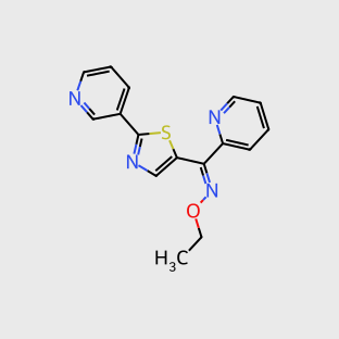 CCON=C(c1ccccn1)c1cnc(-c2cccnc2)s1